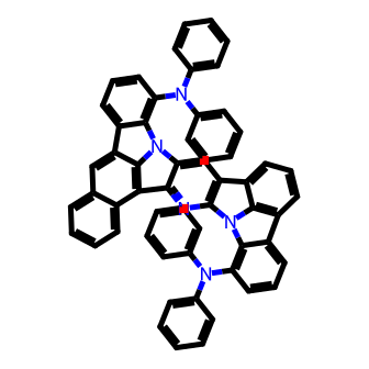 c1ccc(N(c2ccccc2)c2cccc3c4cc5ccccc5c5c6nc7c(cc6n(c23)c45)c2cccc3c4cccc(N(c5ccccc5)c5ccccc5)c4n7c23)cc1